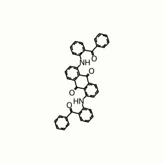 O=C(c1ccccc1)c1ccccc1Nc1cccc2c1C(=O)c1cccc(Nc3ccccc3C(=O)c3ccccc3)c1C2=O